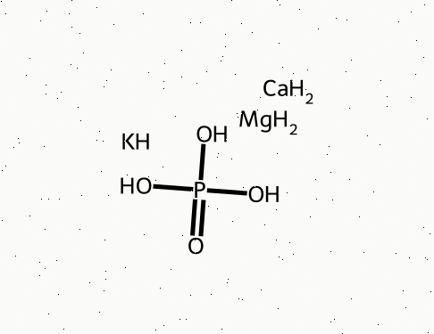 O=P(O)(O)O.[CaH2].[KH].[MgH2]